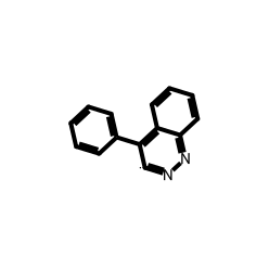 [c]1nnc2ccccc2c1-c1ccccc1